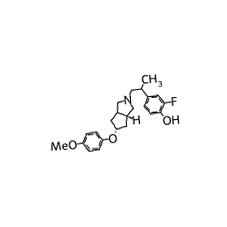 COc1ccc(O[C@@H]2CC3CN(CC(C)c4ccc(O)c(F)c4)C[C@@H]3C2)cc1